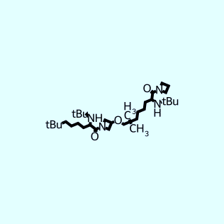 CC(C)(C)CCCCC(NC(C)(C)C)C(=O)N1CC(OCC(C)(C)CCCCC(NC(C)(C)C)C(=O)N2CCC2)C1